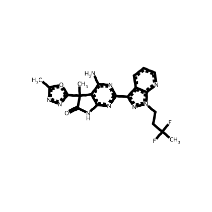 Cc1nnc(C2(C)C(=O)Nc3nc(-c4nn(CCC(C)(F)F)c5ncccc45)nc(N)c32)o1